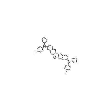 Fc1ccc(N(c2ccccc2)c2ccc3cc4c(cc3c2)oc2cc3cc(N(c5ccccc5)c5ccc(F)cc5)ccc3cc24)cc1